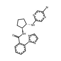 O=C(N[C@H]1CCC[C@@H]1Nc1cnc(Br)cn1)c1ccccc1-n1nccn1